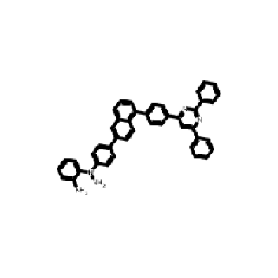 Nc1ccccc1N(N)c1ccc(-c2ccc3c(-c4ccc(-c5cc(-c6ccccc6)nc(-c6ccccc6)n5)cc4)cccc3c2)cc1